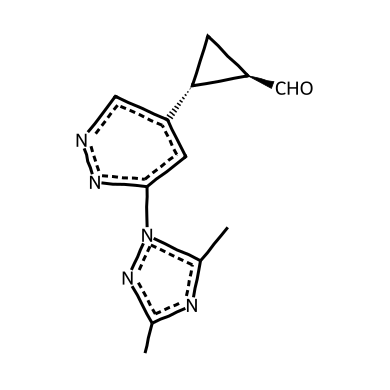 Cc1nc(C)n(-c2cc([C@@H]3C[C@H]3C=O)cnn2)n1